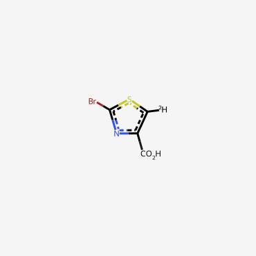 [2H]c1sc(Br)nc1C(=O)O